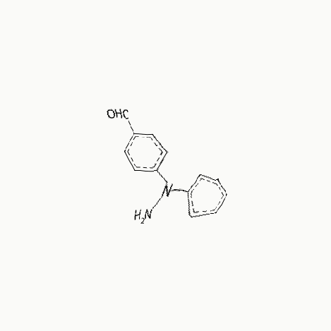 NN(c1ccccc1)c1ccc(C=O)cc1